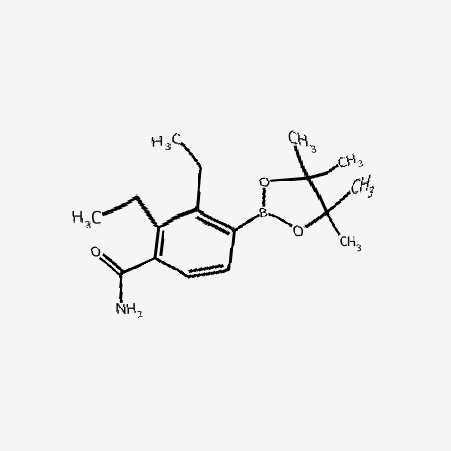 CCc1c(B2OC(C)(C)C(C)(C)O2)ccc(C(N)=O)c1CC